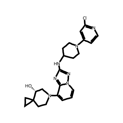 O[C@@H]1CN(c2cccn3nc(NC4CCN(c5ccnc(Cl)c5)CC4)nc23)CCC12CC2